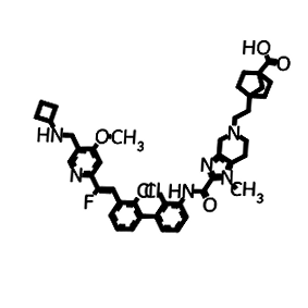 COc1cc(/C(F)=C/c2cccc(-c3cccc(NC(=O)c4nc5c(n4C)CCN(CCC46CCC(C(=O)O)(CC4)C6)C5)c3Cl)c2Cl)ncc1CNC1CCC1